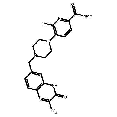 CNC(=O)c1ccc(N2CCN(Cc3ccc4nc(C(F)(F)F)c(=O)[nH]c4c3)CC2)c(F)n1